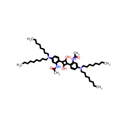 CCCCCCCCCN(CCCCCCCC)c1ccc(C2C(O)C(c3ccc(N(CCCCCCCC)CCCCCCCC)cc3NC(C)=O)C2O)c(NC(C)=O)c1